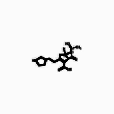 C[C@@H](O)[C@H]1C(=O)N2C(C(=O)O)=C(CCC3CCNC3)C[C@H]12